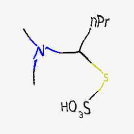 CCCC(SS(=O)(=O)O)N(C)C